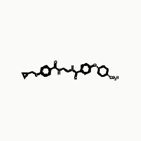 O=C(NCCNC(=O)c1ccc(O[C@H]2CC[C@@H](C(=O)O)CC2)cc1)c1ccc(OCC2CC2)cc1